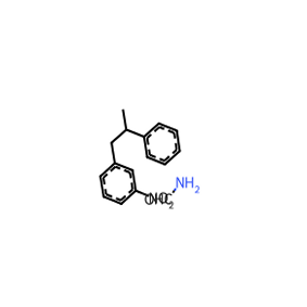 CC(Cc1cccc([N+](=O)[O-])c1)c1ccccc1.NC=O